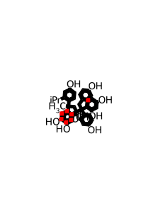 CC(C)c1cc(O)ccc1C(C)(CC(C)(c1ccc(O)cc1)C(Cc1ccc(O)cc1)(c1ccc(O)cc1O)c1ccc(O)cc1O)c1ccc(O)cc1C(C)C